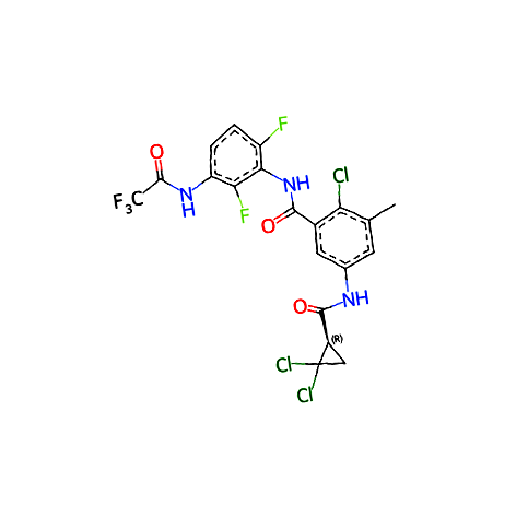 Cc1cc(NC(=O)[C@H]2CC2(Cl)Cl)cc(C(=O)Nc2c(F)ccc(NC(=O)C(F)(F)F)c2F)c1Cl